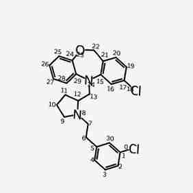 Clc1cccc(CCN2CCCC2CN2c3cc(Cl)ccc3COc3ccccc32)c1